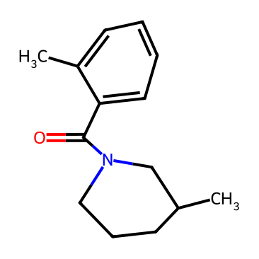 Cc1ccccc1C(=O)N1CCCC(C)C1